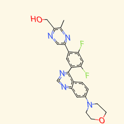 Cc1nc(-c2cc(-c3ncnc4cc(N5CCOCC5)ccc34)c(F)cc2F)cnc1CO